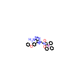 Nc1ncnc2c1c(-c1ccc(Oc3ccccc3)cc1)nn2CCN1C(=O)CC(=P(c2ccccc2)(c2ccccc2)c2ccccc2)C1=O